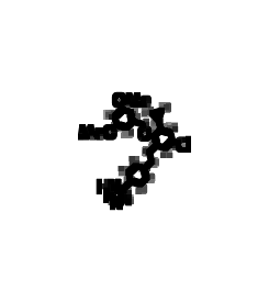 COc1cc(COc2c(CCc3ccc(-c4nnn[nH]4)cc3)cc(Cl)cc2C2CC2)cc(OC)c1